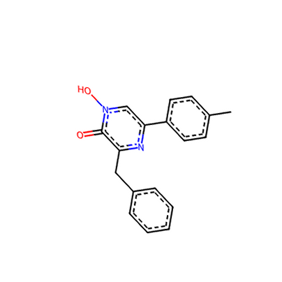 Cc1ccc(-c2cn(O)c(=O)c(Cc3ccccc3)n2)cc1